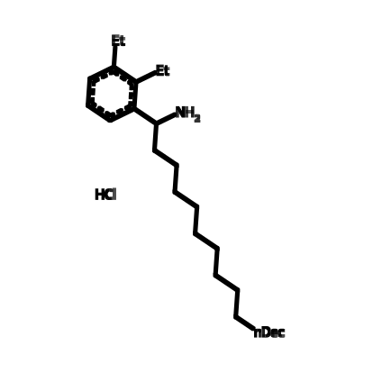 CCCCCCCCCCCCCCCCCCCC(N)c1cccc(CC)c1CC.Cl